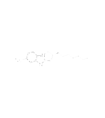 N#Cc1ccc2c(c1)nc1n2C[C@@H](CCCCCCF)O1